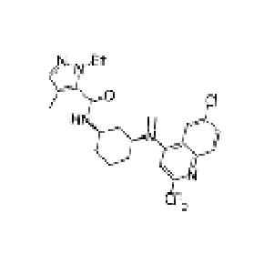 CCn1ncc(C)c1C(=O)N[C@@H]1CCC[C@H](Nc2cc(C(F)(F)F)nc3ccc(Cl)cc23)C1